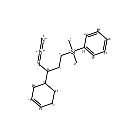 C[Si](C)(CCC(N=[N+]=[N-])C1CC=CCC1)c1ccccc1